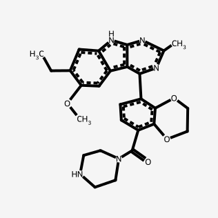 CCc1cc2[nH]c3nc(C)nc(-c4ccc(C(=O)N5CCNCC5)c5c4OCCO5)c3c2cc1OC